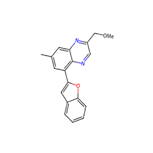 COCc1cnc2c(-c3cc4ccccc4o3)cc(C)cc2n1